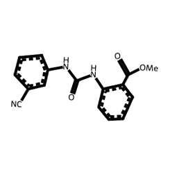 COC(=O)c1ccccc1NC(=O)Nc1cccc(C#N)c1